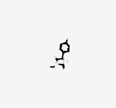 O=C1NC(c2ccc(O)cc2)C(=O)N1CO